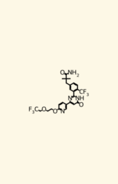 CC(C)(Cc1ccc(C(F)(F)F)c(-c2nc(-c3ccc(OCCOCC(F)(F)F)nc3)cc(=O)[nH]2)c1)C(N)=O